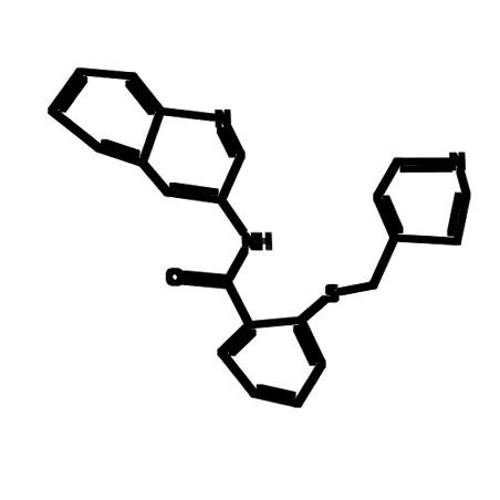 O=C(Nc1cnc2ccccc2c1)c1ccccc1SCc1ccncc1